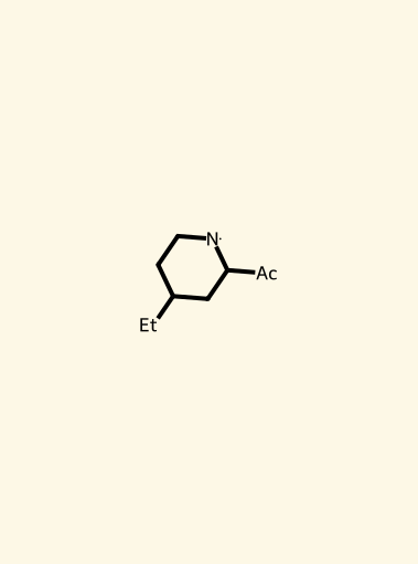 CCC1CC[N]C(C(C)=O)C1